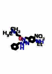 CCNc1cc2c(cc1[N+](=O)[O-])CN(OCCCN(C)C)C(NCc1ccccc1)=N2